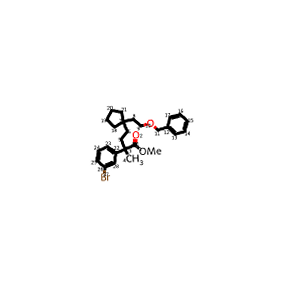 COC(=O)C(C)(CCC1(CCOCc2ccccc2)CCCC1)c1cccc(Br)c1